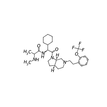 CNC(C)C(=O)N[C@H](C(=O)N1CC[C@H]2CCN(CCc3ccccc3OC(F)(F)F)C[C@H]21)C1CCCCC1